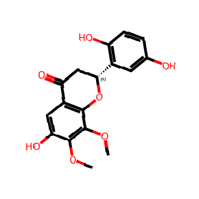 COc1c(O)cc2c(c1OC)O[C@@H](c1cc(O)ccc1O)CC2=O